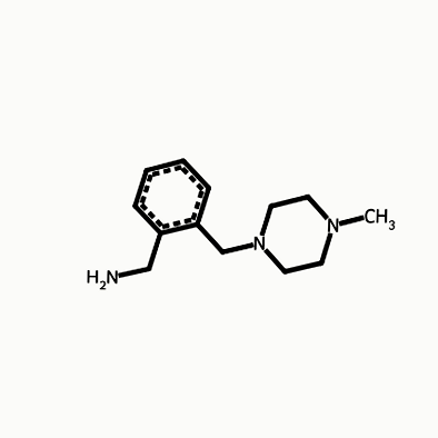 CN1CCN(Cc2ccccc2CN)CC1